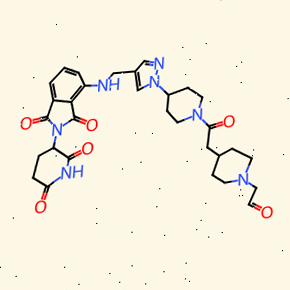 O=CCN1CCC(CC(=O)N2CCC(n3cc(CNc4cccc5c4C(=O)N(C4CCC(=O)NC4=O)C5=O)cn3)CC2)CC1